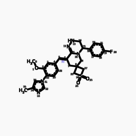 COc1cc(/C=C2\CC3(CN4C2=NNCC4c2ccc(F)cc2)CS(=O)(=O)C3)ccc1-n1cnc(C)c1